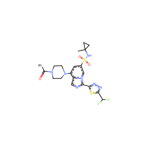 CC(C)C(=O)N1CCN(c2cc(S(=O)(=O)NC3(C)CC3)cn3c(-c4nnc(C(F)F)s4)ncc23)CC1